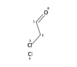 O=CCCl.[C]